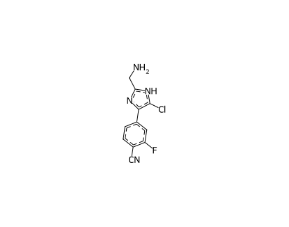 N#Cc1ccc(-c2nc(CN)[nH]c2Cl)cc1F